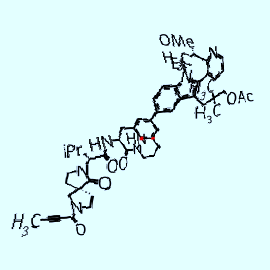 CC#CC(=O)N1CC[C@@]2(CCN([C@H](C(=O)N[C@@H](Cc3cccc(-c4ccc5c(c4)c(CC(C)(C)COC(C)=O)c(-c4cccnc4[C@H](C)OC)n5CC)c3)C(=O)N3CCCCN3)C(C)C)C2=O)C1